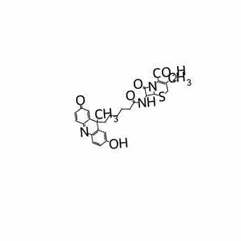 CC1=C(C(=O)O)N2C(=O)C(NC(=O)CCCCCC3(C)C4=CC(=O)C=CC4=Nc4ccc(O)cc43)C2SC1